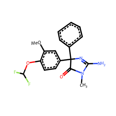 COc1cc(C2(c3ccccc3)N=C(N)N(C)C2=O)ccc1OC(F)F